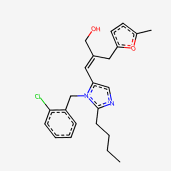 CCCCc1ncc(/C=C(/CO)Cc2ccc(C)o2)n1Cc1ccccc1Cl